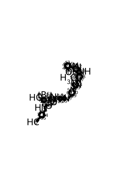 C#Cc1ccc(CNC(=O)[C@@H]2C[C@@H](O)CN2C(=O)[C@@H](NC(=O)N2CC3(CN(CC4CCN(c5cnc(N6CCc7[nH]c8nnc(-c9ccccc9O)cc8c7[C@H]6C)nc5)CC4)C3)C2)C(C)(C)C)cc1